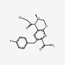 C[C@H]1COc2nc(C(N)=O)c(Cc3ccc(F)cc3)cc2N1C(=O)CCl